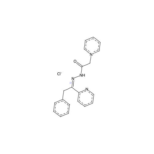 O=C(C[n+]1ccccc1)N/N=C(/Cc1ccccc1)c1ccccn1.[Cl-]